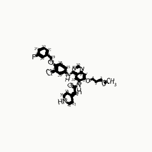 COCCCOc1cc2ncnc(Nc3ccc(OCc4cccc(F)c4)c(Cl)c3)c2cc1NC(=O)C=C1CCNCC1